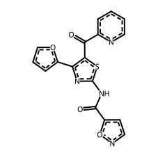 O=C(Nc1nc(-c2ccco2)c(C(=O)c2ccccn2)s1)c1ccno1